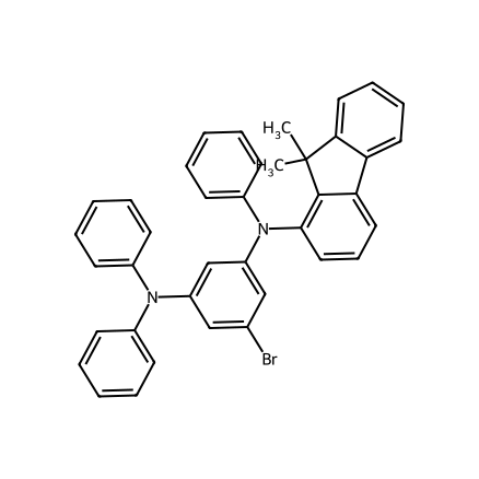 CC1(C)c2ccccc2-c2cccc(N(c3ccccc3)c3cc(Br)cc(N(c4ccccc4)c4ccccc4)c3)c21